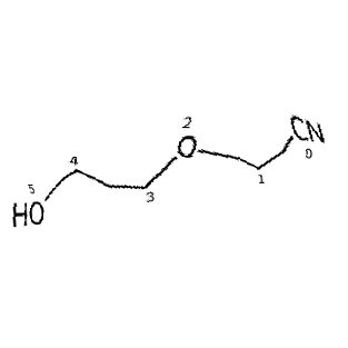 N#CCOCCO